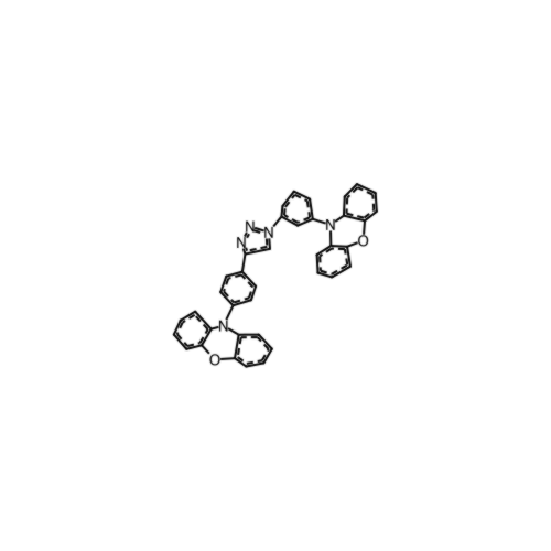 c1cc(N2c3ccccc3Oc3ccccc32)cc(-n2cc(-c3ccc(N4c5ccccc5Oc5ccccc54)cc3)nn2)c1